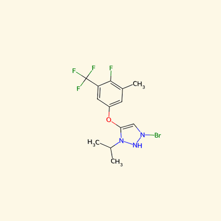 Cc1cc(OC2=CN(Br)NN2C(C)C)cc(C(F)(F)F)c1F